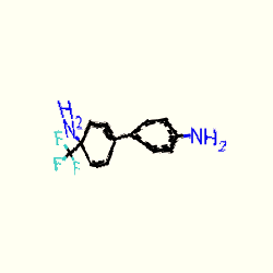 Nc1ccc(C2=CCC(N)(C(F)(F)F)C=C2)cc1